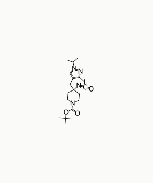 CC(C)n1cc(CC2(N=C=O)CCN(C(=O)OC(C)(C)C)CC2)c(I)n1